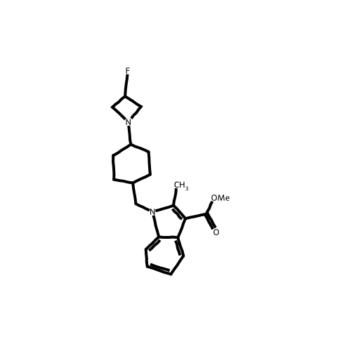 COC(=O)c1c(C)n(CC2CCC(N3CC(F)C3)CC2)c2ccccc12